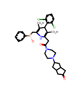 O=C1CC2CC(N3CCN(C(=O)CC4=C(C(=O)O)C(c5c(Cl)cccc5Cl)C(C(=O)O)=C(C[S@+]([O-])c5ccccc5)N4)CC3)CC2C1